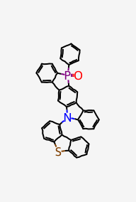 O=P1(c2ccccc2)c2ccccc2-c2cc3c(cc21)c1ccccc1n3-c1cccc2sc3ccccc3c12